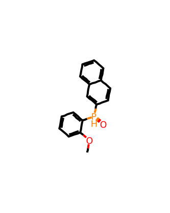 COc1ccccc1[PH](=O)c1ccc2ccccc2c1